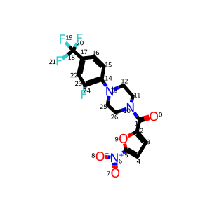 O=C(c1ccc([N+](=O)[O-])o1)N1CCN(c2ccc(C(F)(F)F)cc2F)CC1